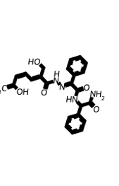 C=C(O)/C=C\C=C(/CO)C(=O)NN=C(C(=O)NC(C(N)=O)c1ccccc1)c1ccccc1